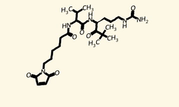 CC(C)C(NC(=O)CCCCCN1C(=O)C=CC1=O)C(=O)N[C@@H](CCCNC(N)=O)C(=O)C(C)(C)C